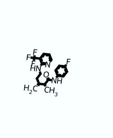 C=C(CCNc1ncccc1C(F)(F)F)C(C)C(=O)Nc1ccc(F)cc1